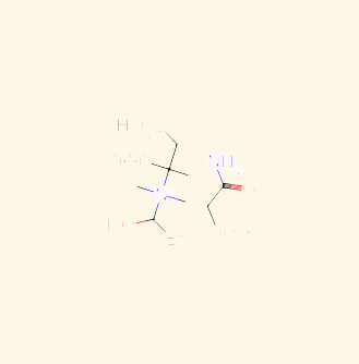 CCC(O)[N+](C)(C)C(CC)(CC(=O)O)C(=O)[O-].CCCCCCCCCCCC(N)=O